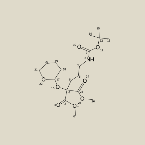 COC(=O)C(CCCNC(=O)OC(C)(C)C)(OC1CCCCO1)C(=O)OC